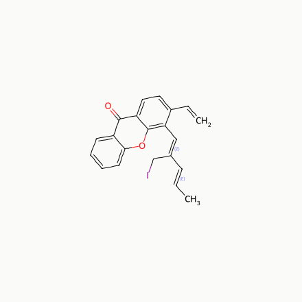 C=Cc1ccc2c(=O)c3ccccc3oc2c1/C=C(/C=C/C)CI